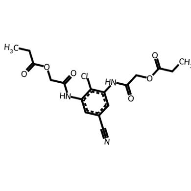 CCC(=O)OCC(=O)Nc1cc(C#N)cc(NC(=O)COC(=O)CC)c1Cl